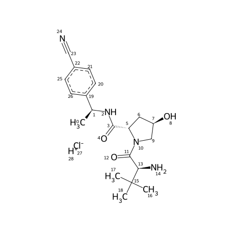 C[C@H](NC(=O)[C@@H]1C[C@@H](O)CN1C(=O)[C@@H](N)C(C)(C)C)c1ccc(C#N)cc1.[Cl-].[H+]